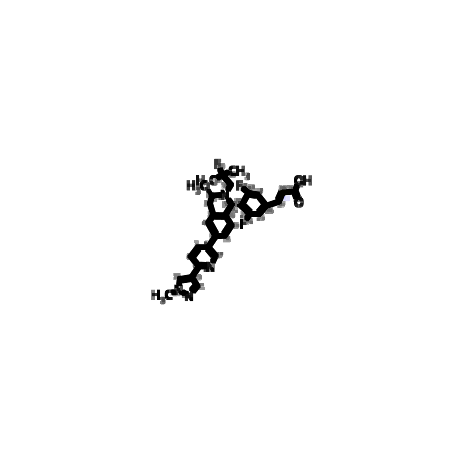 C[C@@H]1Cc2cc(-c3ccc(-c4cnn(C)c4)nc3)ccc2[C@@H](c2c(F)cc(/C=C/C(=O)O)cc2F)N1CC(C)(C)F